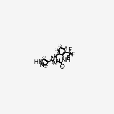 O=c1[nH]c2c(C(F)(F)F)cccc2c2nc(-c3cn[nH]c3)nn12